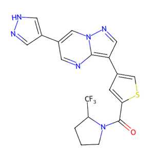 O=C(c1cc(-c2cnn3cc(-c4cn[nH]c4)cnc23)cs1)N1CCCC1C(F)(F)F